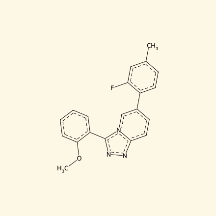 COc1ccccc1-c1nnc2ccc(-c3ccc(C)cc3F)cn12